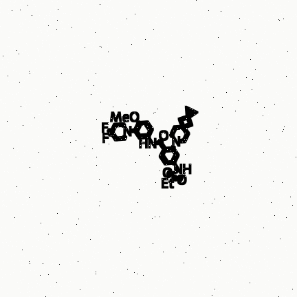 CCS(=O)(=O)Nc1ccc(C(=O)Nc2ccc(OC)c(N3CCC(F)(F)CC3)c2)c(N2CCC3(CC2)CC2(CC2)C3)c1